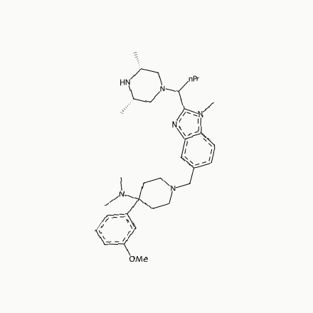 CCCC(c1nc2cc(CN3CCC(c4cccc(OC)c4)(N(C)C)CC3)ccc2n1C)N1C[C@@H](C)N[C@@H](C)C1